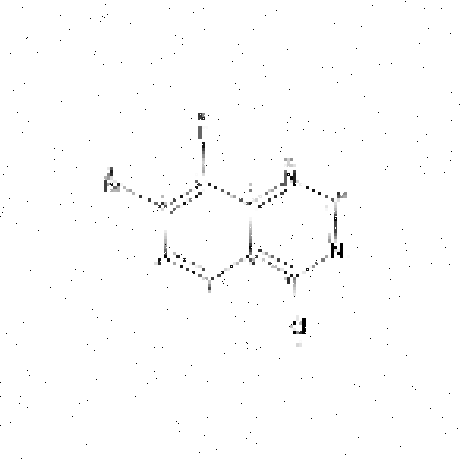 Fc1c(Br)ccc2c(Cl)ncnc12